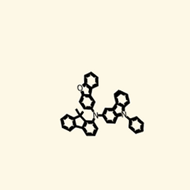 CC1(C)c2ccccc2-c2cccc(N(c3ccc4oc5ccccc5c4c3)c3ccc4c(c3)c3c#cccc3n4-c3ccccc3)c21